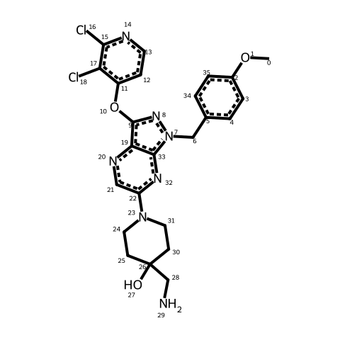 COc1ccc(Cn2nc(Oc3ccnc(Cl)c3Cl)c3ncc(N4CCC(O)(CN)CC4)nc32)cc1